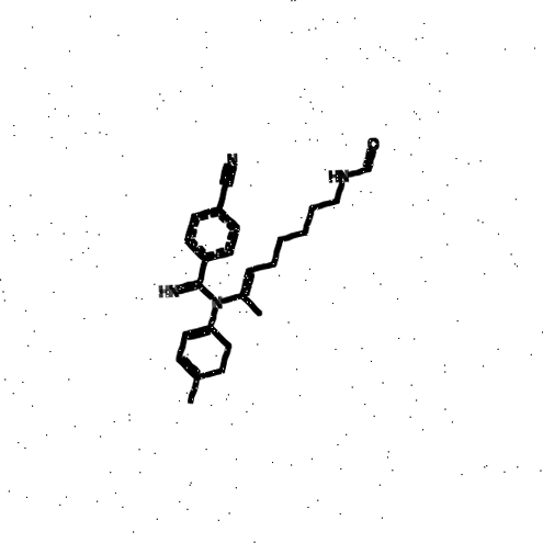 CC1=CC=C(N(C(=N)c2ccc(C#N)cc2)/C(C)=C/CCCCCNC=O)CC1